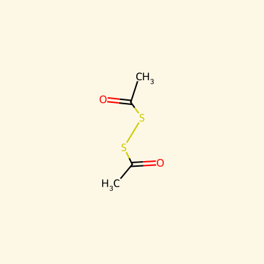 CC(=O)SSC(C)=O